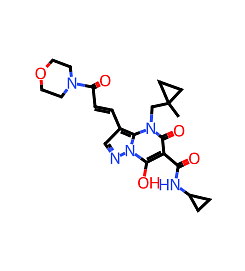 CC1(Cn2c(=O)c(C(=O)NC3CC3)c(O)n3ncc(C=CC(=O)N4CCOCC4)c23)CC1